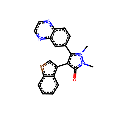 Cn1c(-c2ccc3nccnc3c2)c(-c2csc3ccccc23)c(=O)n1C